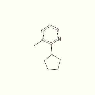 Cc1cccnc1C1CCCC1